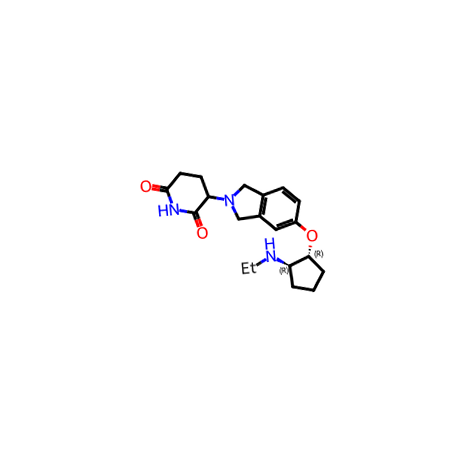 CCN[C@@H]1CCC[C@H]1Oc1ccc2c(c1)CN(C1CCC(=O)NC1=O)C2